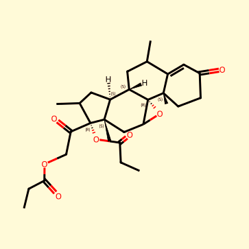 CCC(=O)OCC(=O)[C@@]1(OC(=O)CC)C(C)C[C@H]2[C@@H]3CC(C)C4=CC(=O)CC[C@]4(C)[C@]34OC4C[C@@]21C